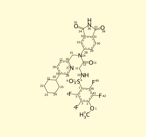 COc1c(F)c(F)c([S+]([O-])NCC(=O)N(Cc2ccc(C3CCCCC3)cn2)c2ccc3c(c2)C(=O)NC3=O)c(F)c1F